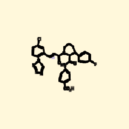 O=C(O)c1ccc(NC(=O)C2C(c3ccc(F)cc3)CCCN2C(=O)/C=C/c2cc(Cl)ccc2-n2cnnn2)cc1